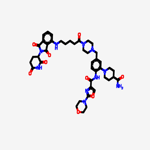 NC(=O)C1CCN(c2cc(CN3CCN(C(=O)CCCCNc4cccc5c4C(=O)N(C4CCC(=O)NC4=O)C5=O)CC3)ccc2NC(=O)c2coc(N3CCOCC3)n2)CC1